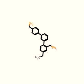 CCc1ccc(-c2cccc(-c3ccc(CP)cc3)c2)c(CP)c1